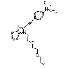 CN(C)c1ccc(C#Cc2nc3ccccc3n2CCOCCOCCF)cc1